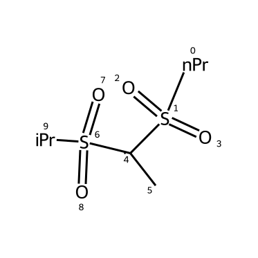 CCCS(=O)(=O)[C](C)S(=O)(=O)C(C)C